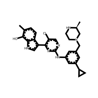 Cc1ccc2c(-c3nc(Nc4cc(CN5CCN[C@@H](C)C5)cc(C5CC5)c4)ncc3Cl)c[nH]c2c1O